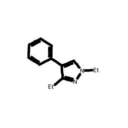 CCc1nn(CC)cc1-c1ccccc1